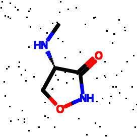 CN[C@H]1CONC1=O